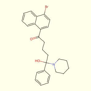 O=C(CCCC(O)(c1ccccc1)N1CCCCC1)c1ccc(Br)c2ccccc12